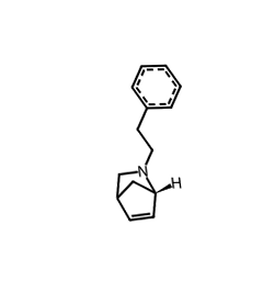 C1=C[C@@H]2CC1CN2CCc1ccccc1